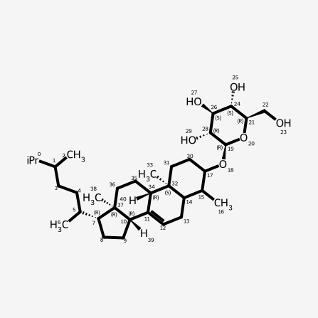 CC(C)C(C)CCC(C)[C@H]1CC[C@H]2C3=CCC4C(C)C(O[C@@H]5O[C@H](CO)[C@@H](O)[C@H](O)[C@H]5O)CC[C@]4(C)[C@H]3CC[C@]12C